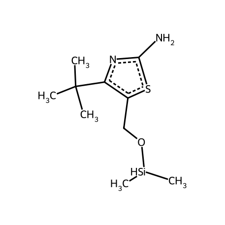 C[SiH](C)OCc1sc(N)nc1C(C)(C)C